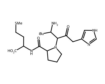 CCC(C)C(N)C(C(=O)Cc1c[nH]cn1)N1CCCC1C(=O)NC(CCSC)C(=O)O